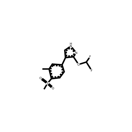 Cc1cc(-c2c[nH]nc2OC(F)F)ccc1S(C)(=O)=O